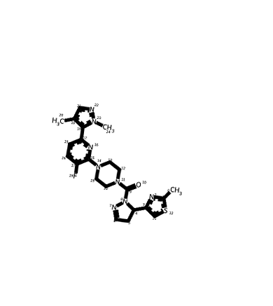 Cc1nc(C2CC=NN2C(=O)N2CCN(c3nc(-c4c(C)cnn4C)ccc3F)CC2)cs1